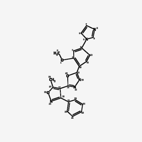 COc1cc(-n2ccnc2)ccc1-c1nnc(-c2c(-c3ccccc3)noc2C)o1